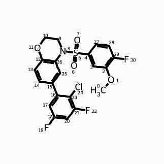 COc1cc(S(=O)(=O)N2CCOc3ccc(-c4cc(F)cc(F)c4Cl)cc32)ccc1F